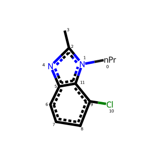 CCCn1c(C)nc2cccc(Cl)c21